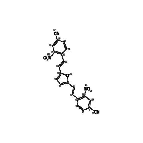 N#Cc1ccc(C=Cc2ccc(C=Cc3ccc(C#N)cc3[N+](=O)[O-])o2)c([N+](=O)[O-])c1